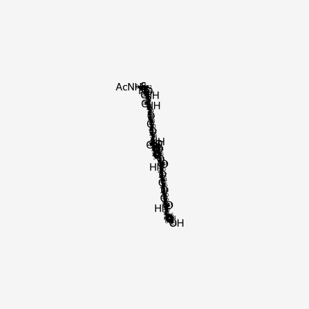 CC(=O)Nc1nc(S(=O)(=O)NCCC(=O)NCCCOCCOCCOCCCNC(=O)c2cc3ccc(OCC(=O)NCCOCCOCCOCCOCCC(=O)NCCc4ccc(O)cc4)cc3oc2=O)c(C)s1